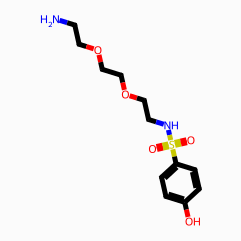 NCCOCCOCCNS(=O)(=O)c1ccc(O)cc1